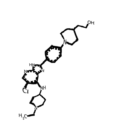 CCN1CCC(Nc2c(Cl)cnc3[nH]c(-c4ccc(N5CCC(CCO)CC5)cc4)nc23)CC1